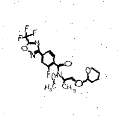 CON(C(=O)c1ccc(-c2noc(C(F)(F)F)n2)cc1F)C(C)COC1CCCCO1